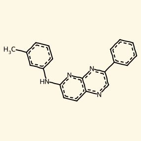 Cc1cccc(Nc2ccc3ncc(-c4ccccc4)nc3n2)c1